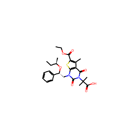 CCOC(=O)c1sc2c(c1C)c(=O)n(C(C)(C)C(=O)O)c(=O)n2C[C@@H](O[C@H](C)CC)c1ccccc1